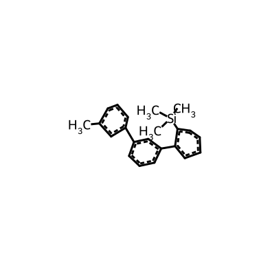 Cc1cccc(-c2cccc(-c3ccccc3[Si](C)(C)C)c2)c1